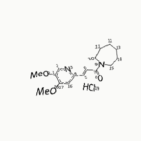 COc1cnc(C=CC(=O)N2CCCCCC2)cc1OC.Cl